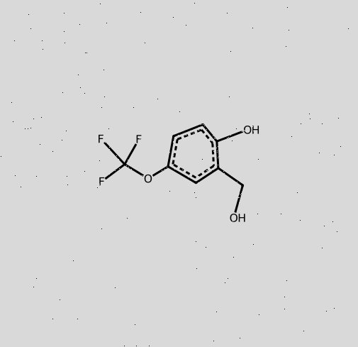 OCc1cc(OC(F)(F)F)ccc1O